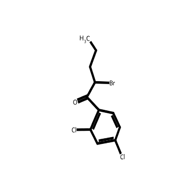 CCCC(Br)C(=O)c1ccc(Cl)cc1Cl